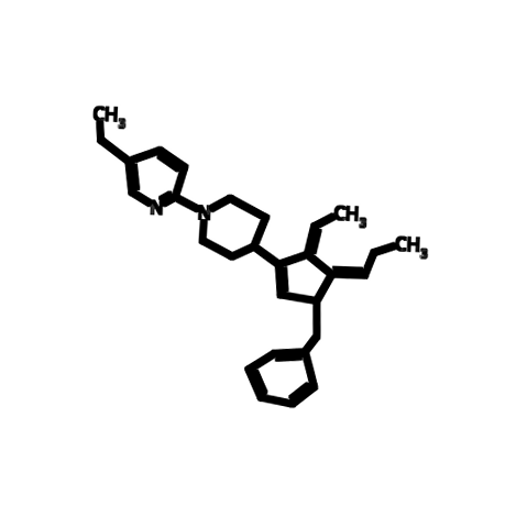 C/C=C1/C(C2CCN(c3ccc(CC)cn3)CC2)=CC(Cc2ccccc2)/C1=C/CC